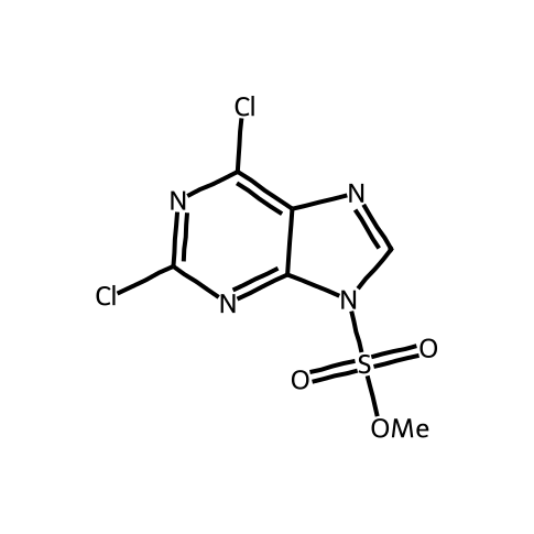 COS(=O)(=O)n1cnc2c(Cl)nc(Cl)nc21